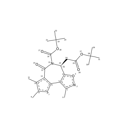 Cc1noc2c1-c1sc(C)c(C)c1C(=O)N(C(=O)OC(C)(C)C)[C@H]2CC(=O)OC(C)(C)C